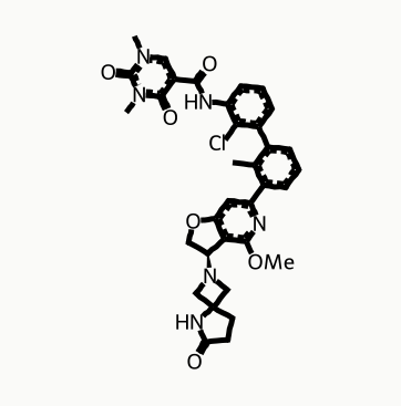 COc1nc(-c2cccc(-c3cccc(NC(=O)c4cn(C)c(=O)n(C)c4=O)c3Cl)c2C)cc2c1[C@@H](N1CC3(CCC(=O)N3)C1)CO2